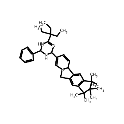 CCC(CC)(CC)C1=NC(C2=CN3Cc4cc5c(cc4C3C=C2)C(C)(C)C(C)(C)C5(C)C)NC(c2ccccc2)N1